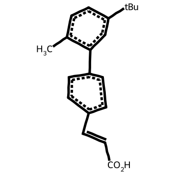 Cc1ccc(C(C)(C)C)cc1-c1ccc(/C=C/C(=O)O)cc1